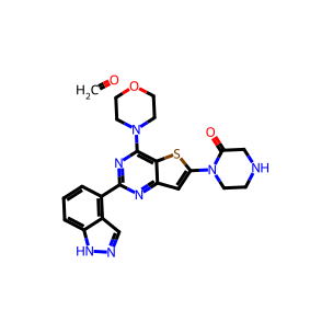 C=O.O=C1CNCCN1c1cc2nc(-c3cccc4[nH]ncc34)nc(N3CCOCC3)c2s1